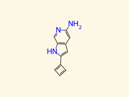 Nc1cc2cc(C3=CC=C3)[nH]c2cn1